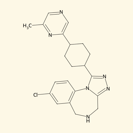 Cc1cncc(C2CCC(c3nnc4n3-c3ccc(Cl)cc3CNC4)CC2)n1